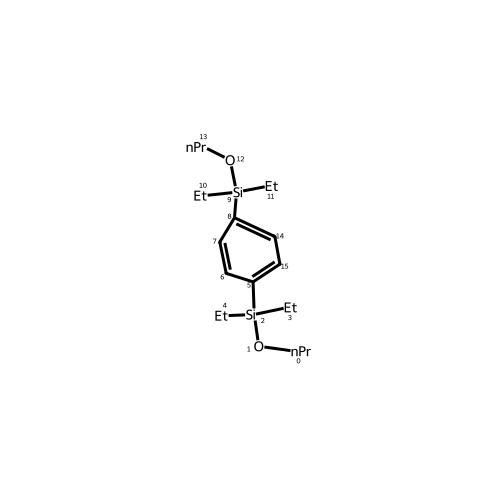 CCCO[Si](CC)(CC)c1ccc([Si](CC)(CC)OCCC)cc1